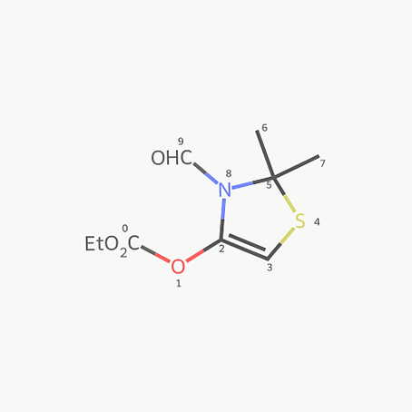 CCOC(=O)OC1=CSC(C)(C)N1C=O